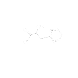 O=C(Cl)C(O)Cc1ccccc1